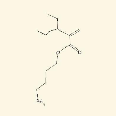 C=C(C(=O)OCCCCN)C(CC)CC